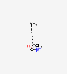 CCCCCCCCCCCCCCCCc1cc(C)cc(-c2ccccc2-c2c[nH]nn2)c1O